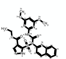 CCOC(=O)c1cn[nH]c1S(=O)(=O)N(C(=O)Nc1nc(OC)cc(OC)n1)c1ccc2ccccc2n1